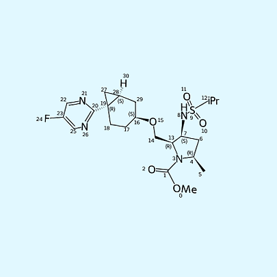 COC(=O)N1[C@H](C)C[C@H](NS(=O)(=O)C(C)C)[C@@H]1CO[C@H]1CC[C@@]2(c3ncc(F)cn3)C[C@H]2C1